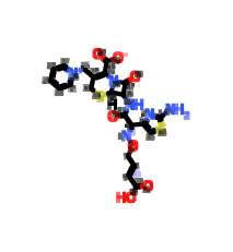 Nc1nc(/C(=N\OC/C=C/C(=O)O)C(=O)NC2C(=O)N3C(C(=O)[O-])=C(C[n+]4ccccc4)CS[C@H]23)cs1